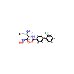 C[C@@H](N)[C@H](NC(=O)c1ccc(-c2ccccc2F)cc1)C(=O)NO